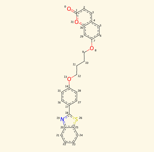 O=c1ccc2ccc(OCCCCOc3ccc(-c4nc5ccccc5s4)cc3)cc2o1